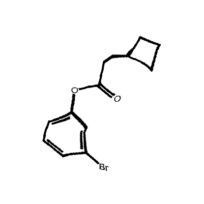 O=C(CC1CCC1)Oc1cccc(Br)c1